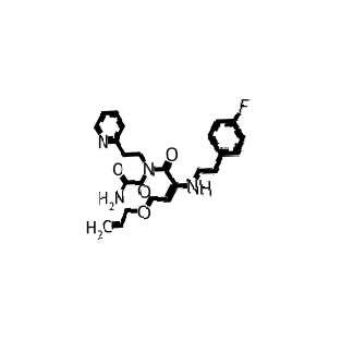 C=CCOC(=O)/C=C(/NCCc1ccc(F)cc1)C(=O)N(CCc1ccccn1)CC(N)=O